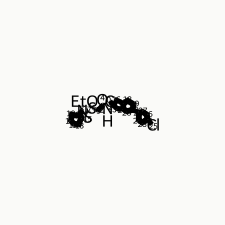 CCOC(=O)C1(NC(=O)CSc2nc3ccccc3s2)Cc2ccc(-c3ccc(Cl)cc3)cc2C1